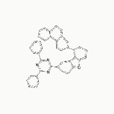 c1ccc(-c2nc(-c3ccccc3)nc(-c3ccc4oc5cccc(-c6ccc7c(ccc8ccccc87)c6)c5c4c3)n2)cc1